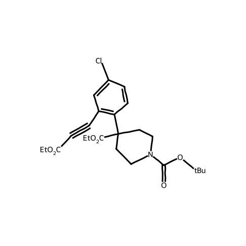 CCOC(=O)C#Cc1cc(Cl)ccc1C1(C(=O)OCC)CCN(C(=O)OC(C)(C)C)CC1